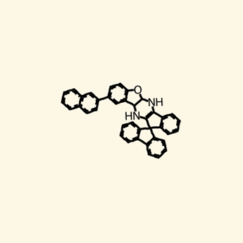 c1ccc2c(c1)C1=C(NC3c4cc(-c5ccc6ccccc6c5)ccc4OC3N1)C21c2ccccc2-c2ccccc21